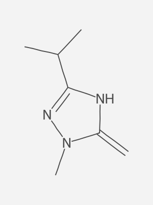 C=C1NC(C(C)C)=NN1C